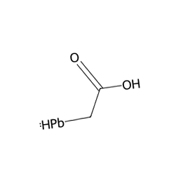 O=C(O)[CH2][PbH]